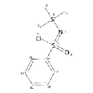 C[Si](C)(C)N=S(=O)(Cl)c1ccccc1